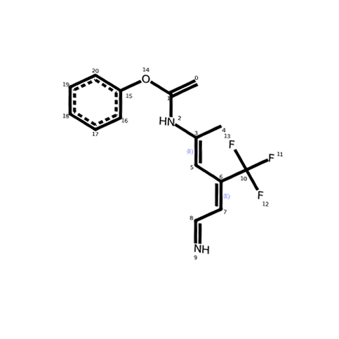 C=C(N/C(C)=C/C(=C\C=N)C(F)(F)F)Oc1ccccc1